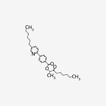 CCCCCCC(=O)C(C)OC(=O)c1ccc(-c2ccc(CCCCCC)cn2)cc1